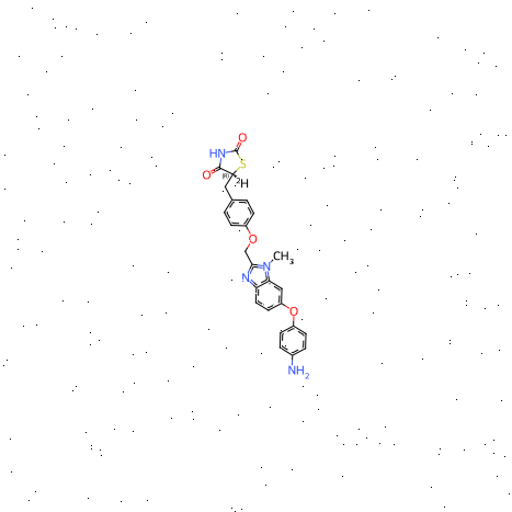 [2H][C@]1(Cc2ccc(OCc3nc4ccc(Oc5ccc(N)cc5)cc4n3C)cc2)SC(=O)NC1=O